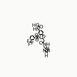 O=C(O)Nc1ccc2c(c1)N(S(=O)(=O)c1cccc(C(F)(F)F)c1)CC(CC(=O)NCc1nn[nH]n1)O2